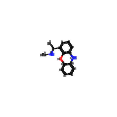 CCCCNC(CC)c1cccc2c1Oc1ccccc1N2